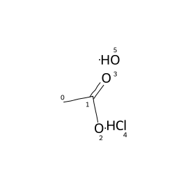 CC([O])=O.Cl.[OH]